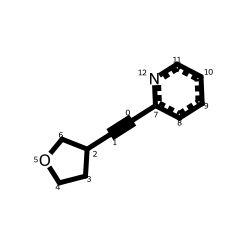 C(#CC1CCOC1)c1ccccn1